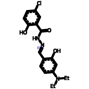 CCN(CC)c1ccc(/C=N/NC(=O)c2cc(Cl)ccc2O)c(O)c1